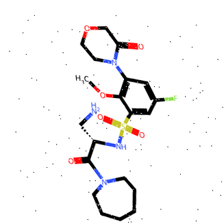 COc1c(N2CCOCC2=O)cc(F)cc1S(=O)(=O)N[C@@H](CN)C(=O)N1CCCCCC1